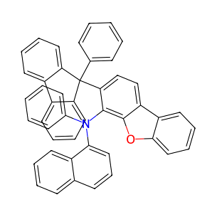 c1ccc(N(c2cccc3ccccc23)c2c(C3(c4ccccc4)c4ccccc4-c4ccccc43)ccc3c2oc2ccccc23)cc1